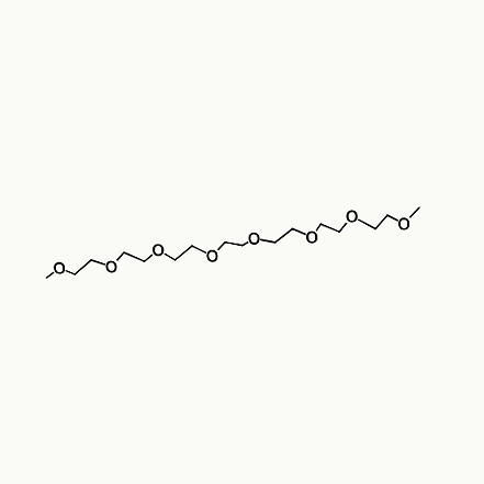 COCCOCCOCCOCCOCCOCCOCCOC